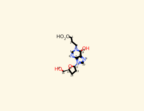 O=C(O)CCCN1C=Nc2c(ncn2[C@H]2CC[C@@H](CO)O2)C1O